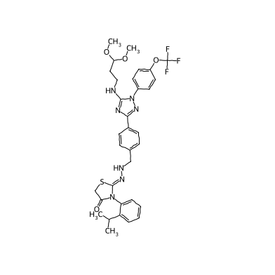 COC(CCNc1nc(-c2ccc(CN/N=C3\SCC(=O)N3c3ccccc3C(C)C)cc2)nn1-c1ccc(OC(F)(F)F)cc1)OC